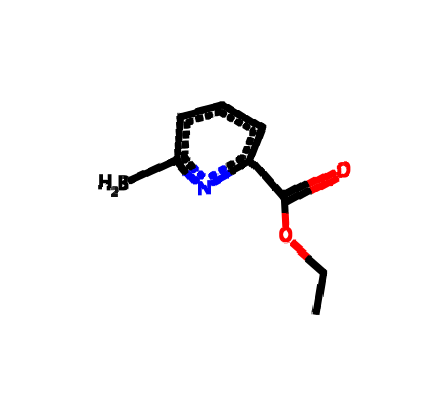 Bc1cccc(C(=O)OCC)n1